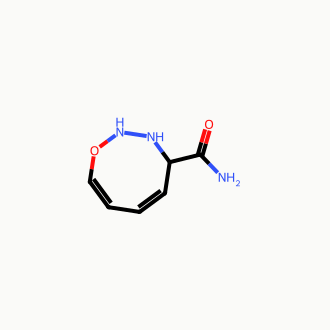 NC(=O)C1C=CC=CONN1